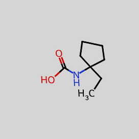 CCC1(NC(=O)O)CCCC1